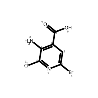 Nc1c(C(=O)O)cc(Br)nc1Cl